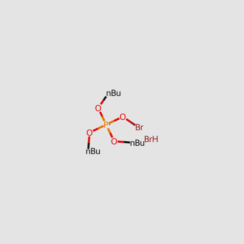 Br.CCCCO[P](OBr)(OCCCC)OCCCC